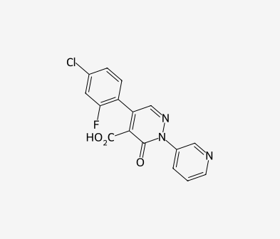 O=C(O)c1c(-c2ccc(Cl)cc2F)cnn(-c2cccnc2)c1=O